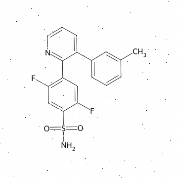 Cc1cccc(-c2cccnc2-c2cc(F)c(S(N)(=O)=O)cc2F)c1